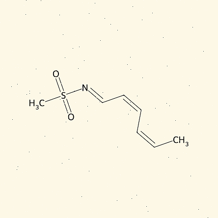 C\C=C/C=C\C=N\S(C)(=O)=O